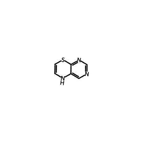 C1=CSc2ncncc2N1